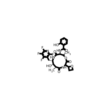 C[C@H]1OC(=O)C(C2CCO2)NC(=O)[C@H](C)[C@H](O)[C@H](Cc2c(F)nc(F)c(F)c2F)NC(=O)[C@H]1NC(=O)c1ccccc1O